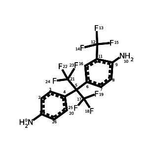 Nc1ccc(C(c2ccc(N)c(C(F)(F)F)c2)(C(F)(F)F)C(F)(F)F)cc1